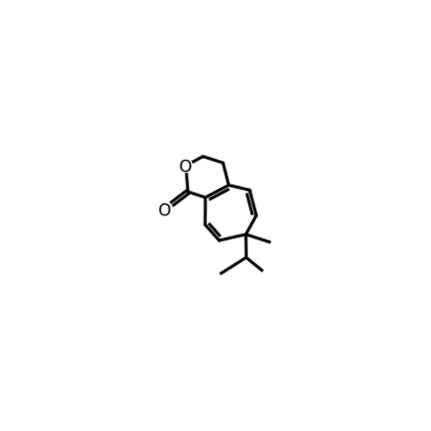 CC(C)C1(C)C=CC2=C(C=C1)C(=O)OCC2